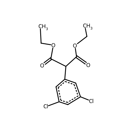 CCOC(=O)C(C(=O)OCC)c1cc(Cl)cc(Cl)c1